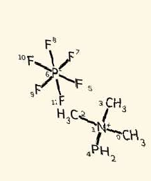 C[N+](C)(C)P.F[P-](F)(F)(F)(F)F